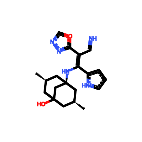 C[C@@H]1CC2(O)C[C@H](C)C[C@](N/C(=C(/C=N)c3nnco3)c3ccc[nH]3)(C1)C2